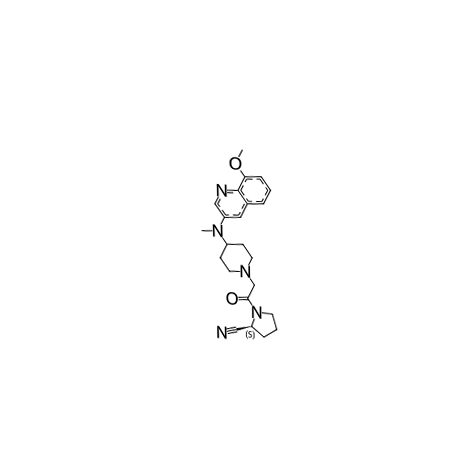 COc1cccc2cc(N(C)C3CCN(CC(=O)N4CCC[C@H]4C#N)CC3)cnc12